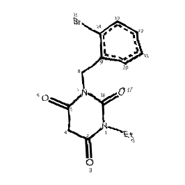 CCN1C(=O)CC(=O)N(Cc2ccccc2Br)C1=O